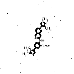 COc1cc(-c2cnc(C)n2C)ccc1Nc1cc2cc(-c3cn(C)nc3C)ccc2cn1